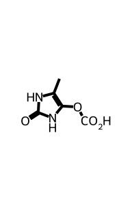 Cc1[nH]c(=O)[nH]c1OC(=O)O